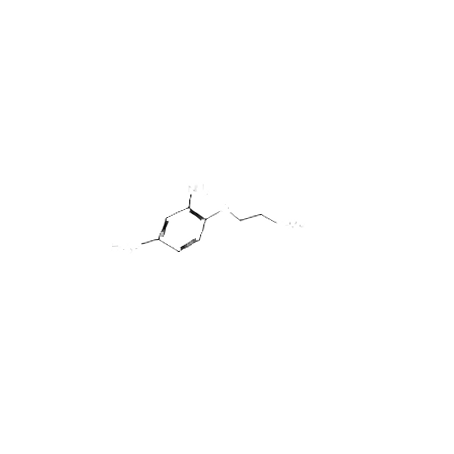 COCCOc1ccc(S(=O)(=O)O)cc1N